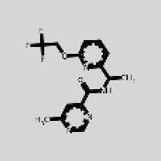 Cc1cc(C(=O)NC(C)c2cccc(OCC(F)(F)F)n2)ncn1